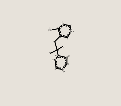 CC(C)(C)c1ncncc1CC(C)(C)c1ncncn1